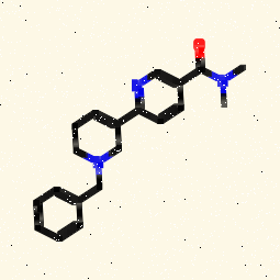 CN(C)C(=O)c1ccc(C2=CCCN(Cc3ccccc3)C2)nc1